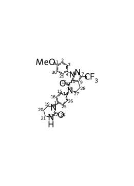 COc1ccc(-n2nc(C(F)(F)F)c3c2C(=O)N(c2ccc(N4CCCNC4=O)cc2)CC3)cc1